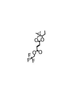 CCC(OC(=O)C=CC(=O)OCC(F)(F)F)[Si](C)(C)C